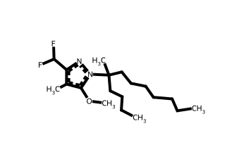 CCCCCCCC(C)(CCCC)n1nc(C(F)F)c(C)c1OC